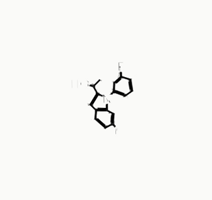 CC(O)c1cc2ccc(Cl)cc2n1-c1cccc(F)c1